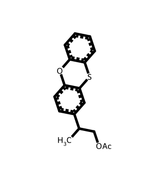 CC(=O)OCC(C)c1ccc2c(c1)Sc1ccccc1O2